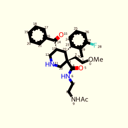 COCC[C@@]1(C(=O)NCCNC(C)=O)CNC[C@H](C(=O)c2ccccc2)[C@@H]1c1cccc(F)c1C